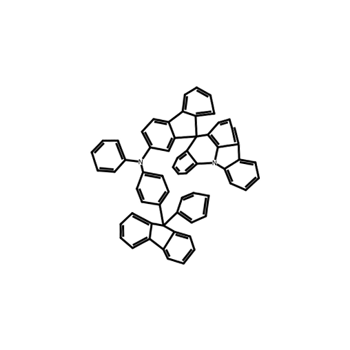 c1ccc(N(c2ccc(C3(c4ccccc4)c4ccccc4-c4ccccc43)cc2)c2ccc3c(c2)C2(c4ccccc4-3)c3ccccc3-n3c4ccccc4c4cccc2c43)cc1